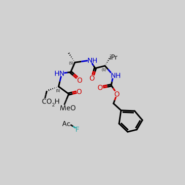 CC(=O)F.COC(=O)[C@H](CC(=O)O)NC(=O)[C@H](C)NC(=O)[C@@H](NC(=O)OCc1ccccc1)C(C)C